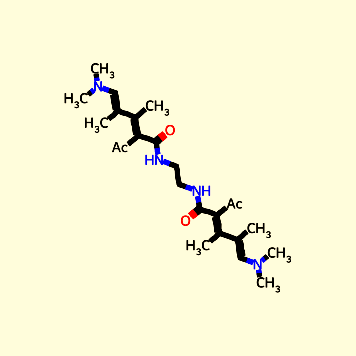 CC(=O)/C(C(=O)NCCNC(=O)/C(C(C)=O)=C(C)/C(C)=C/N(C)C)=C(C)\C(C)=C\N(C)C